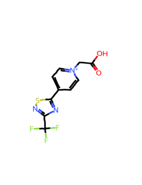 O=C(O)C[n+]1ccc(-c2nc(C(F)(F)F)ns2)cc1